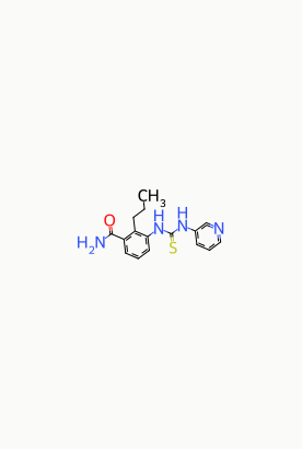 CCCc1c(NC(=S)Nc2cccnc2)cccc1C(N)=O